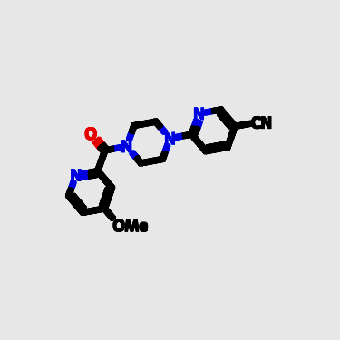 COc1ccnc(C(=O)N2CCN(c3ccc(C#N)cn3)CC2)c1